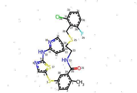 Cc1ccc(Sc2cnc(Nc3ccccn3)s2)cc1C(=O)NCCSCc1c(F)cccc1Cl